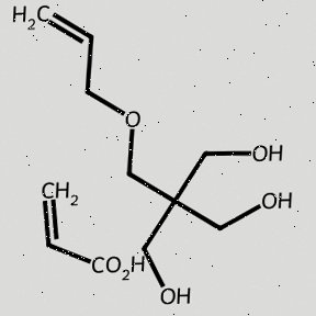 C=CC(=O)O.C=CCOCC(CO)(CO)CO